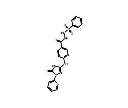 O=C(NNS(=O)(=O)c1ccccc1)c1ccc(Nc2nn(-c3ccccn3)c(=O)[nH]2)nc1